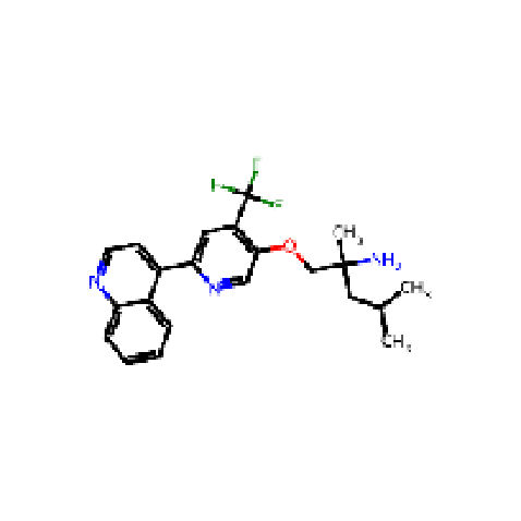 CC(C)CC(C)(N)COc1cnc(-c2ccnc3ccccc23)cc1C(F)(F)F